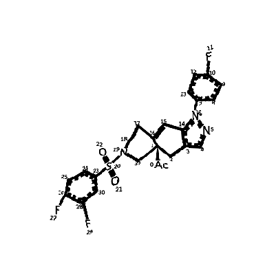 CC(=O)[C@]12Cc3cnn(-c4ccc(F)cc4)c3C=C1CCN(S(=O)(=O)c1ccc(F)c(F)c1)C2